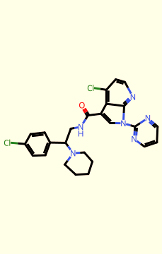 O=C(NCC(c1ccc(Cl)cc1)N1CCCCC1)c1cn(-c2ncccn2)c2nccc(Cl)c12